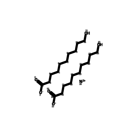 O=C([O-])CCCCCCCCCO.O=C([O-])CCCCCCCCCO.[Ni+2]